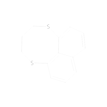 c1cc2c3c(cccc3c1)SCCCS2